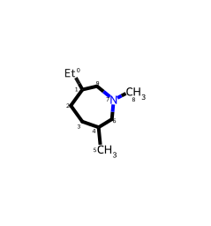 CCC1CCC(C)CN(C)C1